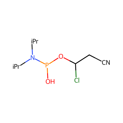 CC(C)N(C(C)C)P(O)OC(Cl)CC#N